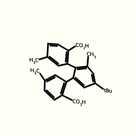 Cc1ccc(C(=O)O)c(-c2cc(C(C)(C)C)cc(C)c2-c2cc(C)ccc2C(=O)O)c1